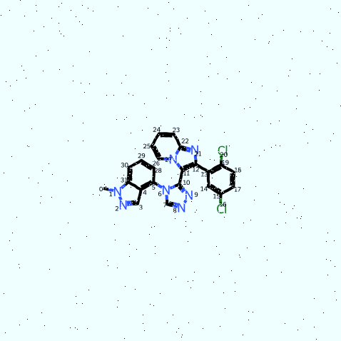 Cn1ncc2c(-n3cnnc3-c3c(-c4cc(Cl)ccc4Cl)nc4ccccn34)cccc21